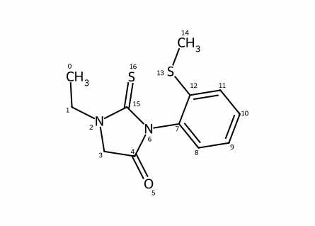 CCN1CC(=O)N(c2ccccc2SC)C1=S